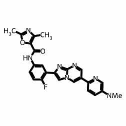 CNc1ccc(-c2cnc3nc(-c4cc(NC(=O)c5oc(C)nc5C)ccc4F)cn3c2)nc1